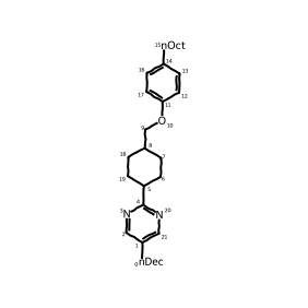 CCCCCCCCCCc1cnc(C2CCC(COc3ccc(CCCCCCCC)cc3)CC2)nc1